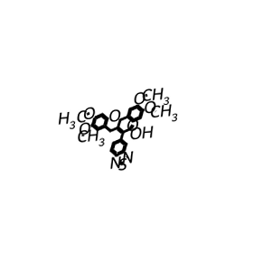 COc1ccc(CC(C(=O)c2ccc(OC)c(OC)c2)=C(C(=O)O)c2ccc3nsnc3c2)cc1OC